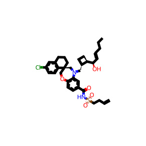 C=CCCS(=O)(=O)NC(=O)c1ccc2c(c1)N(C[C@@H]1CC[C@H]1[C@H](O)/C=C/CCC)C[C@@]1(CCCc3cc(Cl)ccc31)CO2